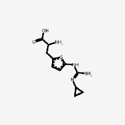 NC(=NC1CC1)Nc1ccc(CC(N)C(=O)O)s1